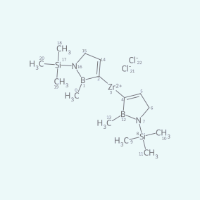 CB1[C]([Zr+2][C]2=CCN([Si](C)(C)C)B2C)=CCN1[Si](C)(C)C.[Cl-].[Cl-]